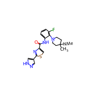 CNC1(C)CCN(c2c(F)cccc2NC(=O)c2csc(-c3cn[nH]c3)n2)CC1